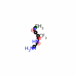 CC1(F)CCN(C(=O)c2ccc(-c3cc(C(F)(F)F)c4oc(CNC(=O)C=Cc5ccc(N)nc5)cc4c3)cc2)C1